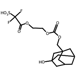 O=C(OCCOC(=O)C(F)(F)S(=O)(=O)O)OCC12CC3CC(CC(O)(C3)C1)C2